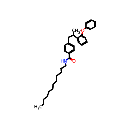 [CH2]C(Cc1ccc(C(=O)NCCCCCCCCCCCC)cc1)c1ccccc1Oc1ccccc1